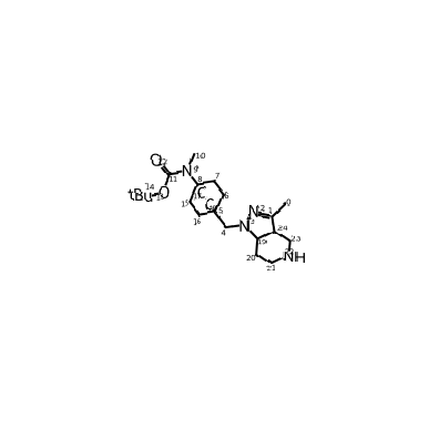 CC1=NN(CC23CCC(N(C)C(=O)OC(C)(C)C)(CC2)CC3)C2CCNCC12